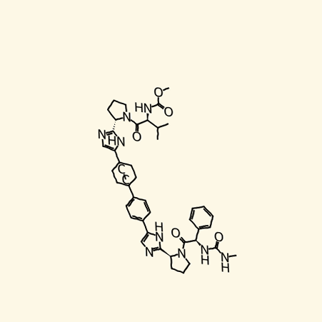 CNC(=O)N[C@@H](C(=O)N1CCC[C@H]1c1ncc(-c2ccc(C34CCC(c5cnc([C@@H]6CCCN6C(=O)[C@@H](NC(=O)OC)C(C)C)[nH]5)(CC3)CC4)cc2)[nH]1)c1ccccc1